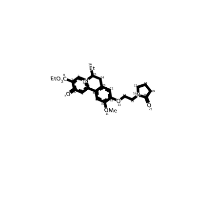 CCOC(=O)c1cn2c(cc1=O)-c1cc(OC)c(OCCN3CCCC3=O)cc1CC2CC